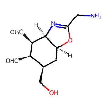 NCC1=N[C@@H]2[C@H](C=O)[C@H](C=O)[C@H](CO)C[C@@H]2O1